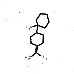 CC(C)=C1CCC(C2(N)CCCCC2)CC1